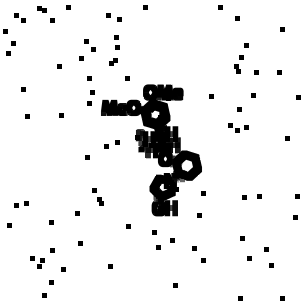 [2H]C([2H])(O[C@@H]1CCCC[C@H]1N1CC[C@@H](O)C1)C([2H])([2H])c1ccc(OC)c(OC)c1